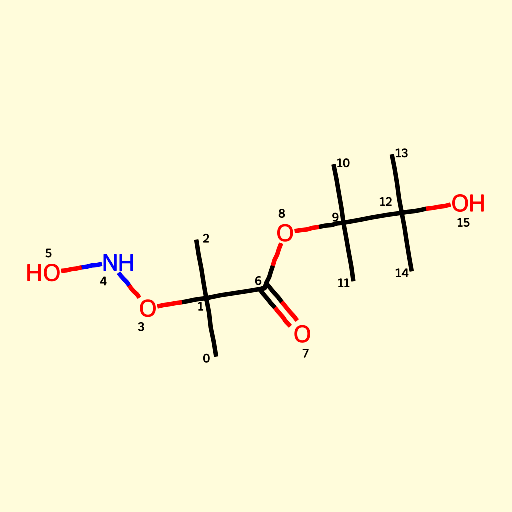 CC(C)(ONO)C(=O)OC(C)(C)C(C)(C)O